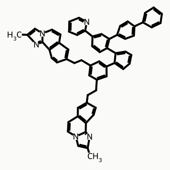 Cc1cn2ccc3cc(CCc4cc(CCc5ccc6c(ccn7cc(C)nc67)c5)cc(-c5ccccc5-c5ccc(-c6ccccn6)cc5-c5ccc(-c6ccccc6)cc5)c4)ccc3c2n1